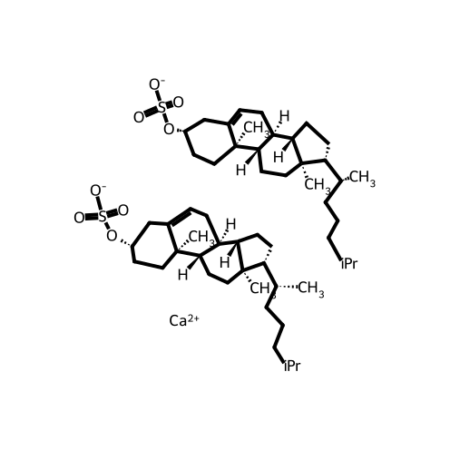 CC(C)CCC[C@@H](C)[C@H]1CC[C@H]2[C@@H]3CC=C4C[C@@H](OS(=O)(=O)[O-])CC[C@]4(C)[C@H]3CC[C@]12C.CC(C)CCC[C@@H](C)[C@H]1CC[C@H]2[C@@H]3CC=C4C[C@@H](OS(=O)(=O)[O-])CC[C@]4(C)[C@H]3CC[C@]12C.[Ca+2]